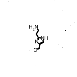 NCCc1nc(C=O)c[nH]1